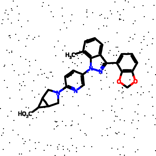 Cc1cccc2c(-c3cccc4c3OCO4)nn(-c3ccc(N4CC5C(C4)C5C(=O)O)nc3)c12